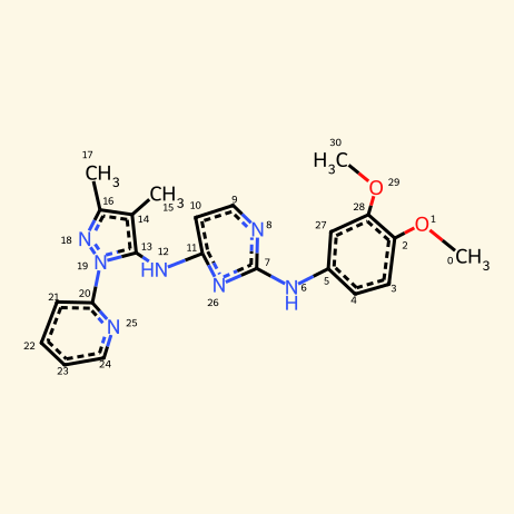 COc1ccc(Nc2nccc(Nc3c(C)c(C)nn3-c3ccccn3)n2)cc1OC